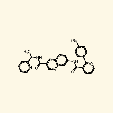 C[C@@H](NC(=O)c1cnc2cc(NC(=O)c3cccnc3-c3ccc(C(C)(C)C)cc3)ccc2c1)c1ccccn1